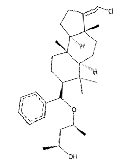 C[C@H](O)C[C@H](C)OC(c1ccccc1)[C@H]1CC[C@]2(C)[C@H]3CC/C(=C/Cl)[C@]3(C)CC[C@H]2C1(C)C